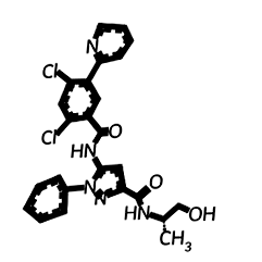 C[C@@H](CO)NC(=O)c1cc(NC(=O)c2cc(-c3ccccn3)c(Cl)cc2Cl)n(-c2ccccc2)n1